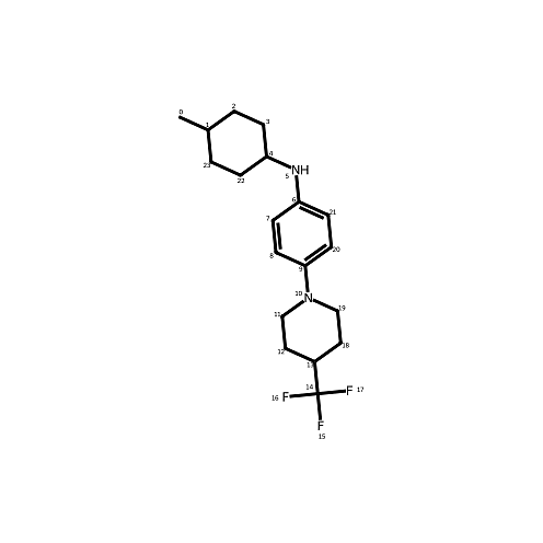 CC1CCC(Nc2ccc(N3CCC(C(F)(F)F)CC3)cc2)CC1